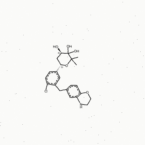 CC1(C)O[C@H](c2ccc(Cl)c(Cc3ccc4c(c3)NCCO4)c2)C[C@@H](O)C1(O)O